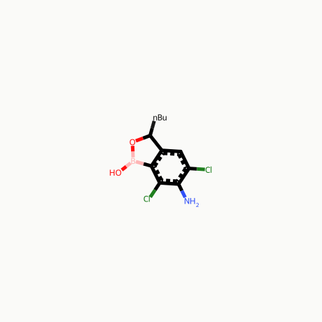 CCCCC1OB(O)c2c1cc(Cl)c(N)c2Cl